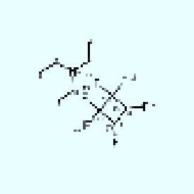 CCN(CC)CC.F[C@H]1[C@H](F)C(F)(F)C1(F)F